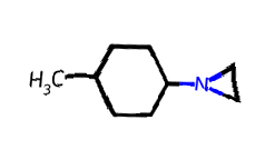 CC1CCC(N2CC2)CC1